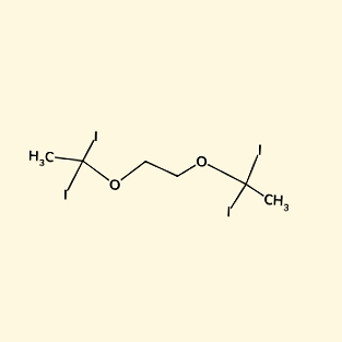 CC(I)(I)OCCOC(C)(I)I